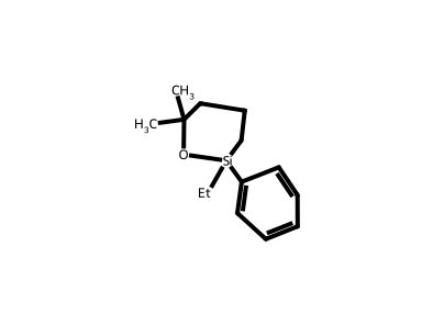 CC[Si]1(c2ccccc2)CCCC(C)(C)O1